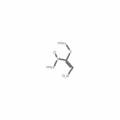 CCCCCCSC(=C[N+](=O)[O-])[S+]([O-])CCCCCC